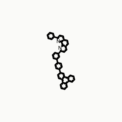 c1ccc(-c2ccc3ccc4ccc(-c5cccc(-c6ccc(-c7ccc8c9ccccc9c9ccccc9c8c7)cc6)c5)nc4c3n2)cc1